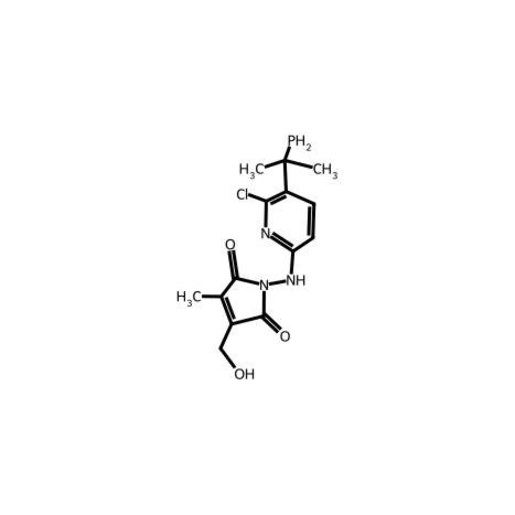 CC1=C(CO)C(=O)N(Nc2ccc(C(C)(C)P)c(Cl)n2)C1=O